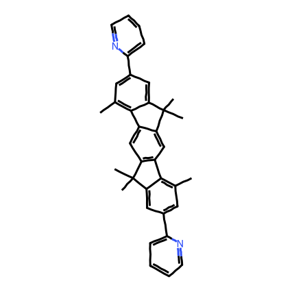 Cc1cc(-c2ccccn2)cc2c1-c1cc3c(cc1C2(C)C)-c1c(C)cc(-c2ccccn2)cc1C3(C)C